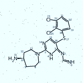 N=C/N=c1\[nH]c(N2CCC[C@@H](N)CC2)ncc1Sc1cccc(Cl)c1Cl